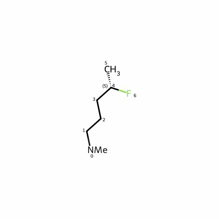 CNCCC[C@H](C)F